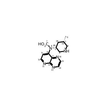 C[C@@H]1CNC[C@H](N(C(=O)O)c2ccnc3nccnc23)C1